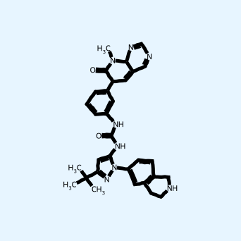 CN1C(=O)C(c2cccc(NC(=O)Nc3cc(C(C)(C)C)nn3-c3ccc4c(c3)CCNC4)c2)C=C2C=NC=NC21